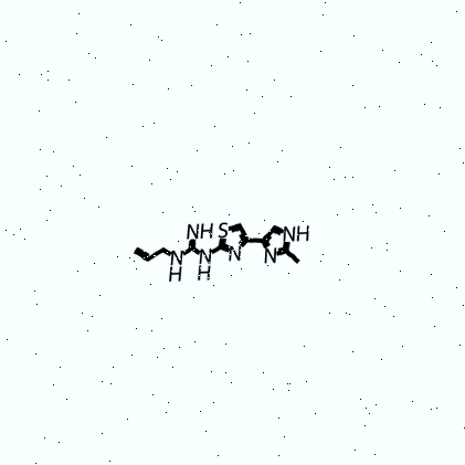 C=CCNC(=N)Nc1nc(-c2c[nH]c(C)n2)cs1